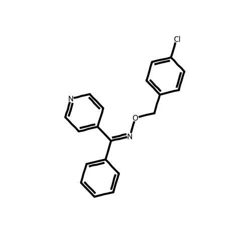 Clc1ccc(CON=C(c2ccccc2)c2ccncc2)cc1